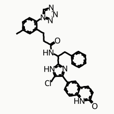 Cc1ccc(-n2cnnn2)c(CCC(=O)NC(Cc2ccccc2)c2nc(-c3ccc4[nH]c(=O)ccc4c3)c(Cl)[nH]2)c1